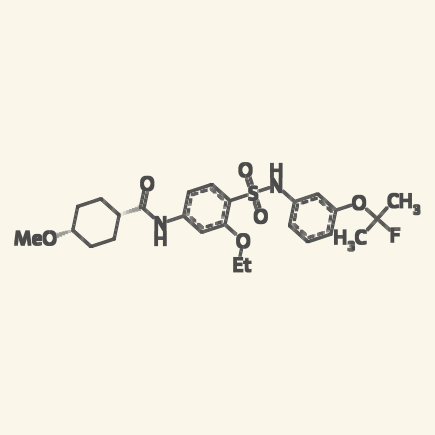 CCOc1cc(NC(=O)[C@H]2CC[C@@H](OC)CC2)ccc1S(=O)(=O)Nc1cccc(OC(C)(C)F)c1